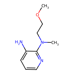 COCCN(C)c1ncccc1N